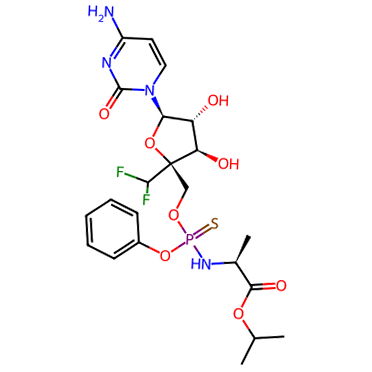 CC(C)OC(=O)[C@H](C)NP(=S)(OC[C@@]1(C(F)F)O[C@@H](n2ccc(N)nc2=O)[C@H](O)[C@H]1O)Oc1ccccc1